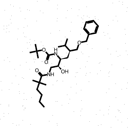 CCCCC(C)(C)C(=O)NC[C@H](O)[C@H](C[C@H](COCc1ccccc1)C(C)C)NC(=O)OC(C)(C)C